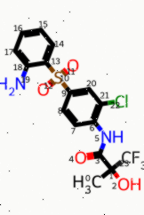 CC(O)(C(=O)Nc1ccc(S(=O)(=O)c2ccccc2N)cc1Cl)C(F)(F)F